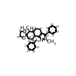 C[C@H]1[C@@H]2CCc3c(nn(C)c3-c3ccccc3)[C@@]2(Cc2ccccc2)CCC12OCCO2